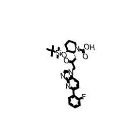 CC(C)(C)[Si](C)(C)O[C@H]1CCCN(C(=O)O)[C@@H]1CC(=O)Cn1cnc2nc(-c3ccccc3F)ccc21